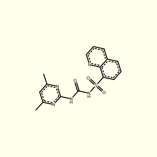 Cc1cc(C)nc(NC(=O)NS(=O)(=O)c2cccc3cccnc23)n1